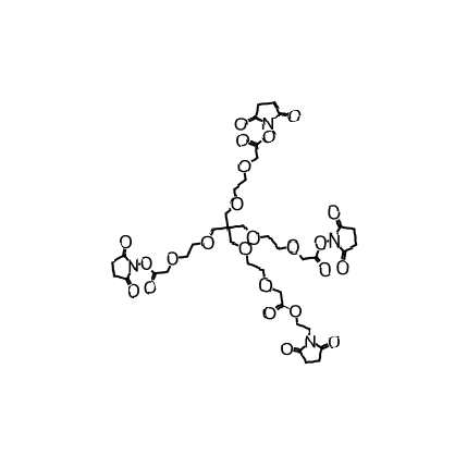 O=C(COCCOCC(COCCOCC(=O)ON1C(=O)CCC1=O)(COCCOCC(=O)ON1C(=O)CCC1=O)COCCOCC(=O)ON1C(=O)CCC1=O)OCCN1C(=O)CCC1=O